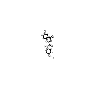 NC1CCC(NC(=O)[C@H]2CC(=O)c3cc(Cl)ccc3O2)CC1